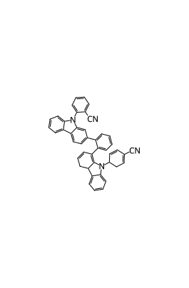 N#CC1=CCC(N2C3=C(c4ccccc4-c4ccc5c6ccccc6n(-c6ccccc6C#N)c5c4)C=CCC3c3ccccc32)C=C1